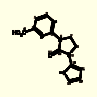 O=C(O)c1cccc(N2CCN(c3cccs3)C2=O)c1